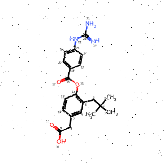 CC(C)(C)Cc1cc(CC(=O)O)ccc1OC(=O)c1ccc(NC(=N)N)cc1